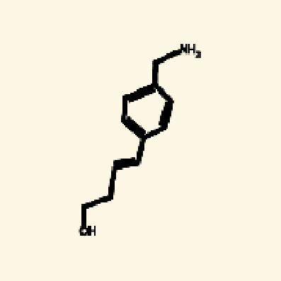 NCc1ccc(C=CCCO)cc1